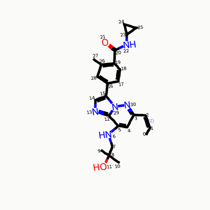 C/C=C\c1cc(NCC(C)(C)O)c2ncc(-c3ccc(C(=O)NC4CC4)c(C)c3)n2n1